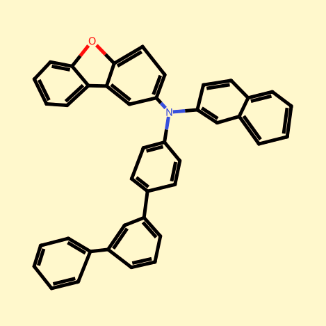 c1ccc(-c2cccc(-c3ccc(N(c4ccc5ccccc5c4)c4ccc5oc6ccccc6c5c4)cc3)c2)cc1